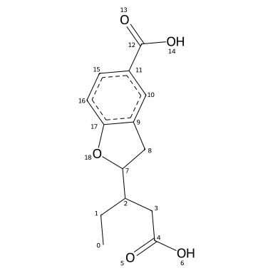 CCC(CC(=O)O)C1Cc2cc(C(=O)O)ccc2O1